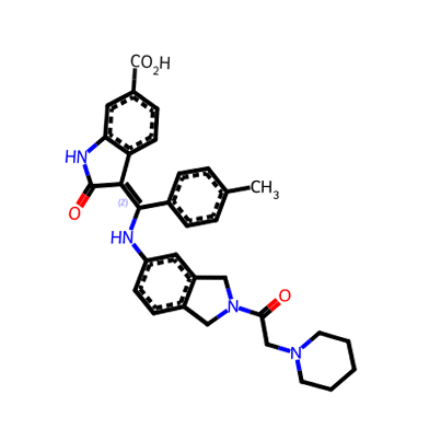 Cc1ccc(/C(Nc2ccc3c(c2)CN(C(=O)CN2CCCCC2)C3)=C2/C(=O)Nc3cc(C(=O)O)ccc32)cc1